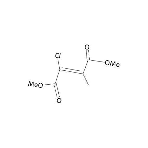 COC(=O)/C(C)=C(\Cl)C(=O)OC